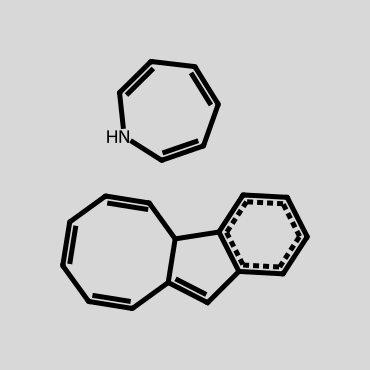 C1=CC=CC2C(=Cc3ccccc32)C=C1.C1=CC=CNC=C1